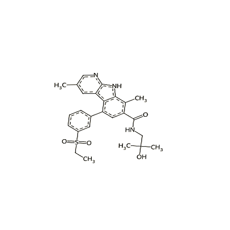 CCS(=O)(=O)c1cccc(-c2cc(C(=O)NCC(C)(C)O)c(C)c3[nH]c4ncc(C)cc4c23)c1